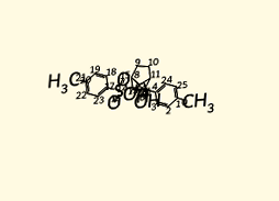 Cc1ccc([C@@]2(O)CC3CCC2[C@H]3OS(=O)(=O)c2ccc(C)cc2)cc1